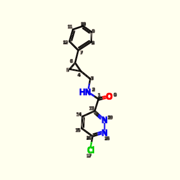 O=C(NCC1CC1c1ccccc1)c1ccc(Cl)nn1